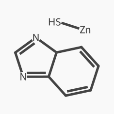 C1=CC2=NC=NC2C=C1.[SH][Zn]